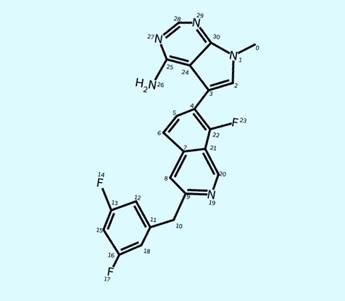 Cn1cc(-c2ccc3cc(Cc4cc(F)cc(F)c4)ncc3c2F)c2c(N)ncnc21